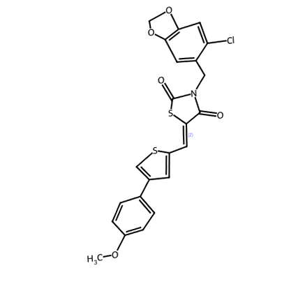 COc1ccc(-c2csc(/C=C3\SC(=O)N(Cc4cc5c(cc4Cl)OCO5)C3=O)c2)cc1